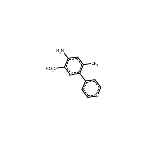 Nc1cc(C(F)(F)F)c(-c2ccncc2)nc1C(=O)O